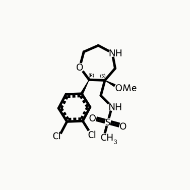 CO[C@]1(CNS(C)(=O)=O)CNCCO[C@@H]1c1ccc(Cl)c(Cl)c1